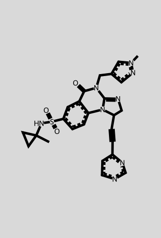 Cn1cc(CN2C(=O)c3cc(S(=O)(=O)NC4(C)CC4)ccc3N3C2=NCC3C#Cc2ccncn2)cn1